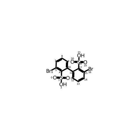 O=S(=O)(O)c1c(Br)cccc1-c1cccc(Br)c1S(=O)(=O)O